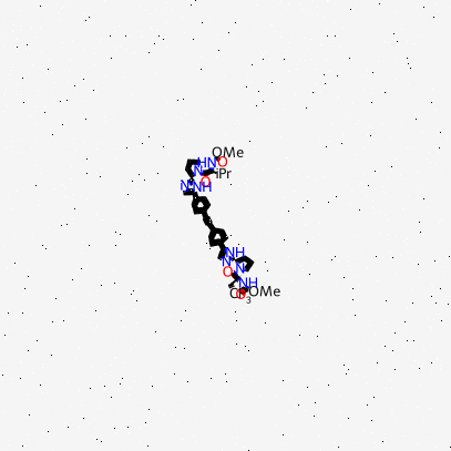 COC(=O)N[C@@H](CC(F)(F)F)C(=O)N1CCC[C@H]1c1ncc(-c2ccc(C#Cc3ccc(-c4cnc([C@@H]5CCCN5C(=O)[C@@H](NC(=O)OC)C(C)C)[nH]4)cc3)cc2)[nH]1